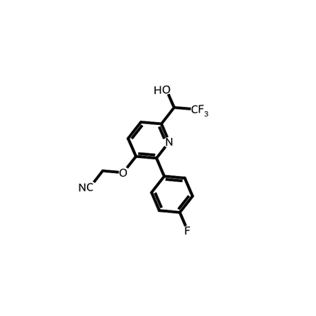 N#CCOc1ccc(C(O)C(F)(F)F)nc1-c1ccc(F)cc1